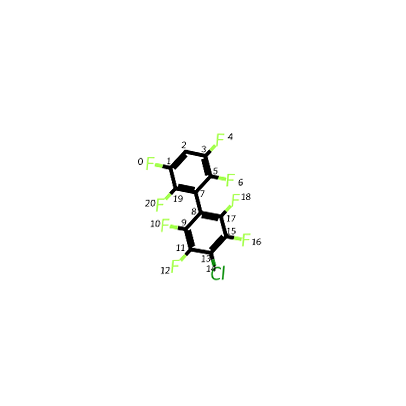 Fc1cc(F)c(F)c(-c2c(F)c(F)c(Cl)c(F)c2F)c1F